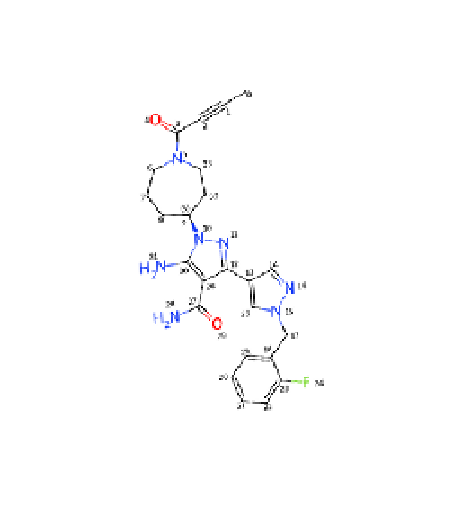 CC#CC(=O)N1CCC[C@H](n2nc(-c3cnn(Cc4ccccc4F)c3)c(C(N)=O)c2N)CC1